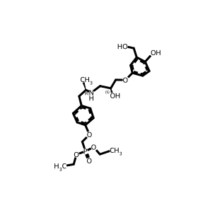 CCOP(=O)(COc1ccc(C[C@@H](C)NC[C@H](O)COc2ccc(O)c(CO)c2)cc1)OCC